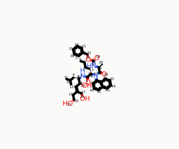 CCCC[C@@H](C(=O)N[C@@H](CC(C)C)[C@@H](O)C=C(CO)CCO)N(C(=O)[C@H](C)NC(=O)OCc1ccccc1)c1cccc2ccccc12